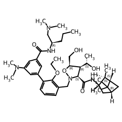 CCC[C@H](CN(C)C)NC(=O)c1cc(-c2cccc(CN3O[C@@H](CO)[C@@H]([C@H](C)O)[C@H]3C(=O)N[C@H]3C[C@H]4C[C@@H]([C@@H]3C)C4(C)C)c2OCC)cc(N(C)C)c1